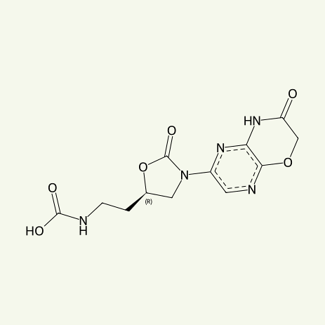 O=C(O)NCC[C@@H]1CN(c2cnc3c(n2)NC(=O)CO3)C(=O)O1